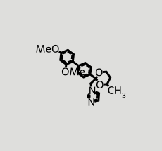 COc1ccc(-c2ccc(C3(Cn4ccnc4)OCCC(C)O3)cc2)c(OC)c1